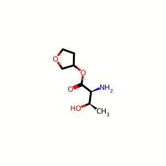 C[C@@H](O)[C@H](N)C(=O)OC1CCOC1